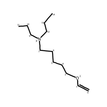 C=COCCCCCN(CCC)CCC